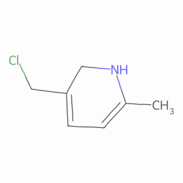 CC1=CC=C(CCl)CN1